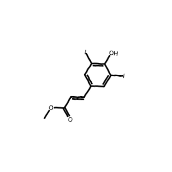 COC(=O)/C=C/c1cc(I)c(O)c(I)c1